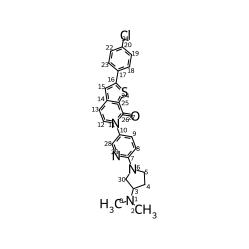 CN(C)C1CCN(c2ccc(-n3ccc4cc(-c5ccc(Cl)cc5)sc4c3=O)cn2)C1